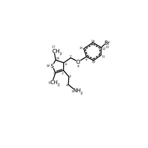 CC1=C(CCN)C(COc2ccc(Br)cc2)C(C)S1